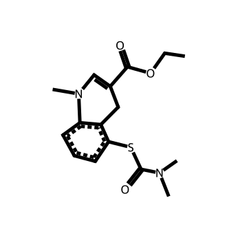 CCOC(=O)C1=CN(C)c2cccc(SC(=O)N(C)C)c2C1